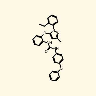 CCc1ccccc1-n1nc(C)cc1Oc1ccccc1NC(=O)Nc1ccc(Oc2ccccc2)cc1